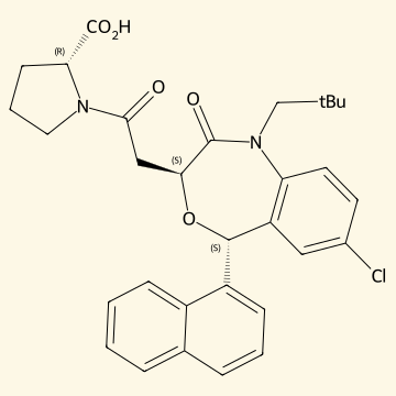 CC(C)(C)CN1C(=O)[C@H](CC(=O)N2CCC[C@@H]2C(=O)O)O[C@@H](c2cccc3ccccc23)c2cc(Cl)ccc21